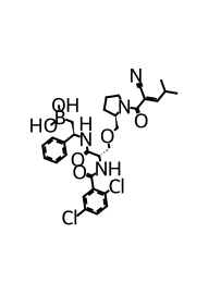 CC(C)C=C(C#N)C(=O)N1CCC[C@@H]1COC[C@H](NC(=O)c1cc(Cl)ccc1Cl)C(=O)N[C@H](CB(O)O)c1ccccc1